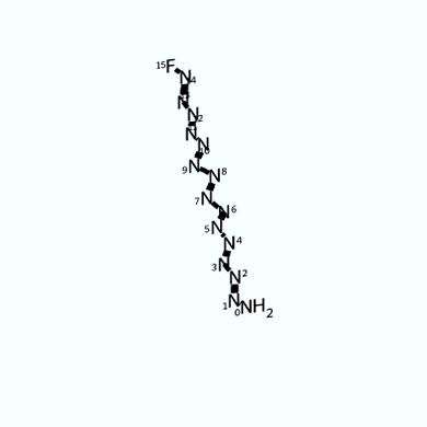 N/N=N/N=N/N=N/N=N/N=N/N=N/N=N/F